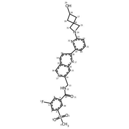 CS(=O)(=O)c1cc(F)cc(C(=O)NCc2cc3nc(-c4cccc(N5CC6(CC(O)C6)C5)n4)ccc3cn2)c1